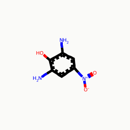 Nc1cc([N+](=O)[O-])cc(N)c1O